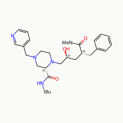 CNC(=O)[C@H](Cc1ccccc1)C[C@H](O)CN1CCN(Cc2cccnc2)C[C@H]1C(=O)NC(C)(C)C